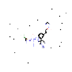 CC(=O)N1CCC2(C1)CN(C(=O)Nc1ncc(Cl)s1)c1ccc(/C=C/C(=O)N3CCC3)cc12